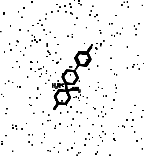 Cc1ccc([C@H]2CC[C@](N)(C3(N)CCC(C)CC3)CC2)cc1